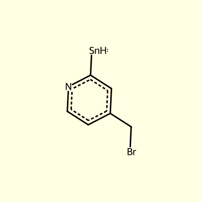 BrCc1ccn[c]([SnH])c1